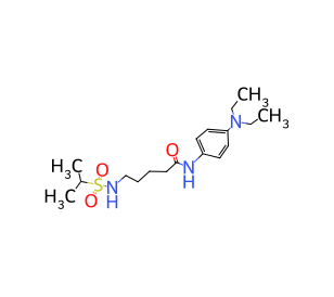 CCN(CC)c1ccc(NC(=O)CCCCNS(=O)(=O)C(C)C)cc1